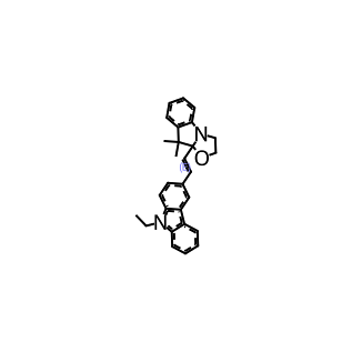 CCn1c2ccccc2c2cc(/C=C/C34OCCN3c3ccccc3C4(C)C)ccc21